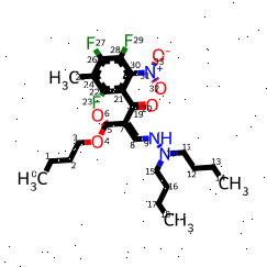 CCCCOC(=O)/C(=C/NN(CCCC)CCCC)C(=O)c1c(F)c(C)c(F)c(F)c1[N+](=O)[O-]